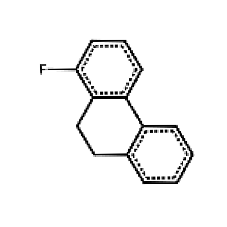 Fc1cccc2c1CCc1ccccc1-2